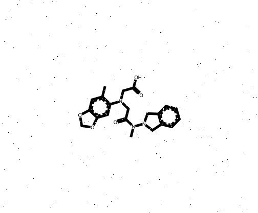 Cc1cc2c(cc1N(CC(=O)O)CC(=O)N(C)N1Cc3ccccc3C1)OCO2